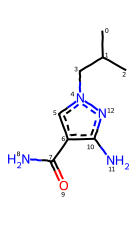 CC(C)Cn1cc(C(N)=O)c(N)n1